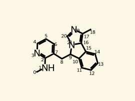 CNc1ncccc1CC1c2ccccc2-c2c(C)ncn21